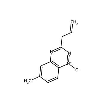 C=CCc1nc2cc(C)ccc2[n+]([O-])n1